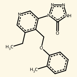 CCc1cncc(-n2nn[nH]c2=O)c1COc1ccccc1C